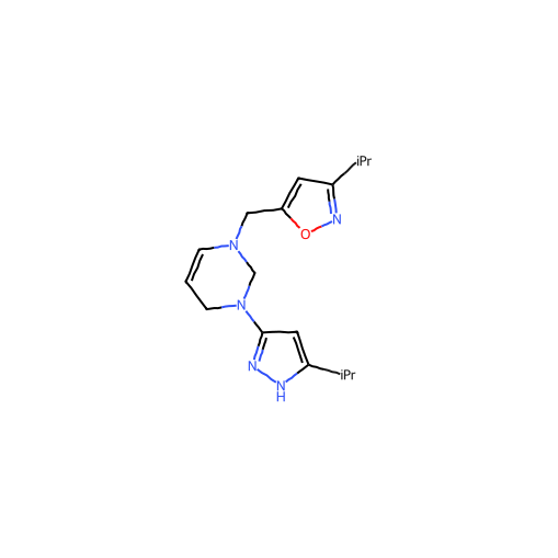 CC(C)c1cc(CN2C=CCN(c3cc(C(C)C)[nH]n3)C2)on1